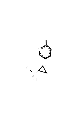 Cc1ccc([C@@H]2C[C@H]2B(O)O)cn1